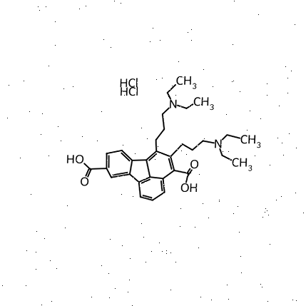 CCN(CC)CCCc1c(CCCN(CC)CC)c2c3c(cccc3c1C(=O)O)-c1cc(C(=O)O)ccc1-2.Cl.Cl